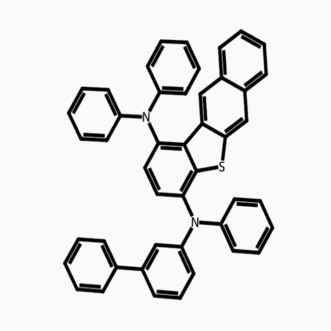 c1ccc(-c2cccc(N(c3ccccc3)c3ccc(N(c4ccccc4)c4ccccc4)c4c3sc3cc5ccccc5cc34)c2)cc1